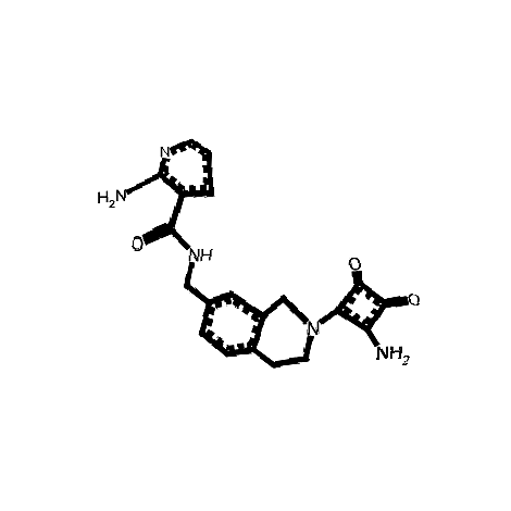 Nc1ncccc1C(=O)NCc1ccc2c(c1)CN(c1c(N)c(=O)c1=O)CC2